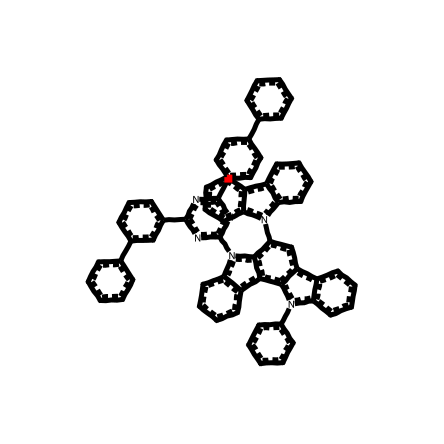 c1ccc(-c2ccc(-c3nc(-c4cccc(-c5ccccc5)c4)nc(-n4c5ccccc5c5c4c(-n4c6ccccc6c6ccccc64)cc4c6ccccc6n(-c6ccccc6)c45)n3)cc2)cc1